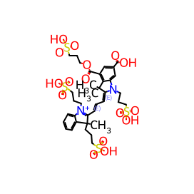 CC1(CCCS(=O)(=O)O)C(/C=C/C=C2/N(CCCS(=O)(=O)O)c3cc(C(=O)O)cc(C(=O)OCCCS(=O)(=O)O)c3C2(C)C)=[N+](CCCS(=O)(=O)O)c2ccccc21